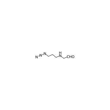 [N-]=[N+]=NCCCNCC=O